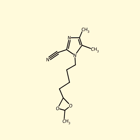 Cc1nc(C#N)n(CCCCC2OC(C)O2)c1C